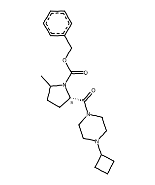 CC1CC[C@@H](C(=O)N2CCN(C3CCC3)CC2)N1C(=O)OCc1ccccc1